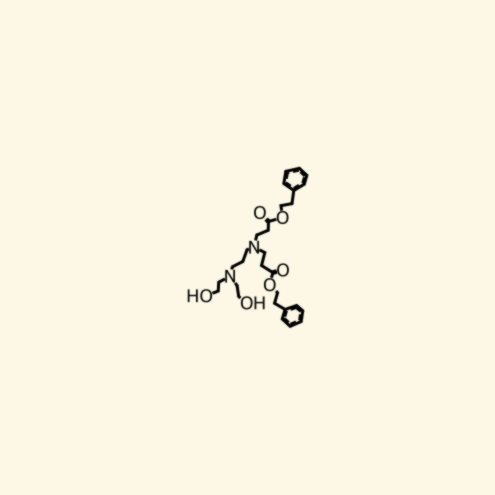 O=C(CCN(CCCN(CCO)CCO)CCC(=O)OCCc1ccccc1)OCCc1ccccc1